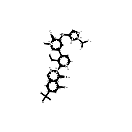 CCc1c(-c2cc(Nc3cnn(C(F)F)n3)c(=O)n(C)c2)ccnc1-n1ncc2cc(C(C)(C)C)cc(F)c2c1=O